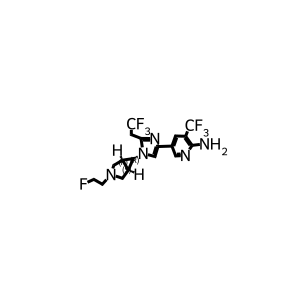 Nc1ncc(-c2cn([C@@H]3[C@@H]4CN(CCF)C[C@@H]43)c(CC(F)(F)F)n2)cc1C(F)(F)F